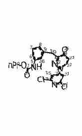 CCCOC(=O)Nc1cccc(Cc2nn(-c3cc(Cl)nc(Cl)c3)ccc2=O)c1